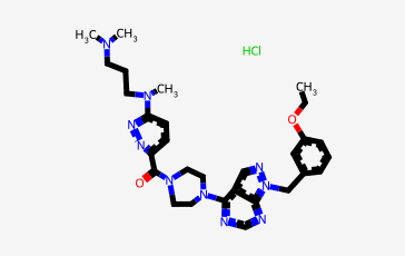 CCOc1cccc(Cn2ncc3c(N4CCN(C(=O)c5ccc(N(C)CCCN(C)C)nn5)CC4)ncnc32)c1.Cl